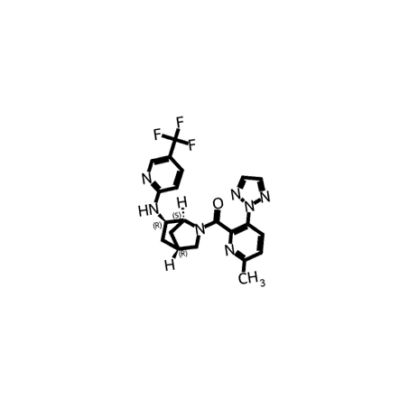 Cc1ccc(-n2nccn2)c(C(=O)N2C[C@@H]3C[C@@H](Nc4ccc(C(F)(F)F)cn4)[C@@H]2C3)n1